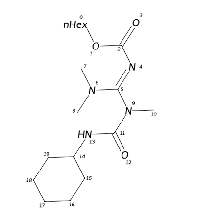 CCCCCCOC(=O)N=C(N(C)C)N(C)C(=O)NC1CCCCC1